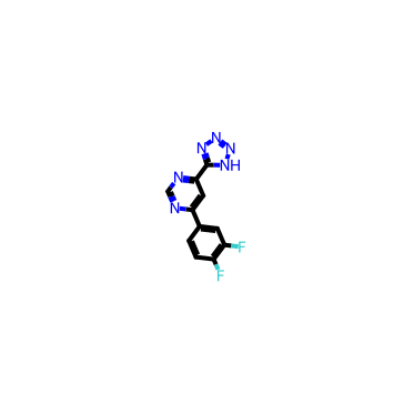 Fc1ccc(-c2cc(-c3nnn[nH]3)ncn2)cc1F